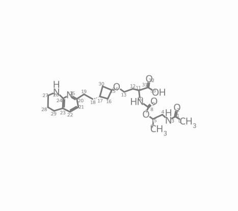 CC(=O)NC[C@@H](C)OC(=O)NC(CCO[C@H]1C[C@H](CCc2ccc3c(n2)NCCC3)C1)C(=O)O